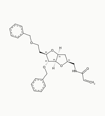 C=CC(=O)NC[C@@H]1C[C@@H]2O[C@H](CCOCc3ccccc3)[C@@H](OCc3ccccc3)[C@@H]2O1